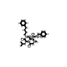 CC(C)C[C@H]1C(=O)N(CCCCc2ccccc2)C[C@H]2N1C(=O)CN(C)N2C(=O)NCc1ccccc1